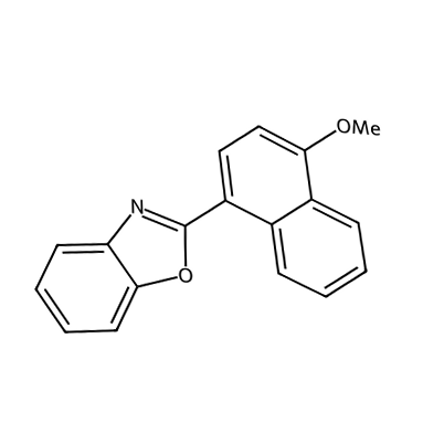 COc1ccc(-c2nc3ccccc3o2)c2ccccc12